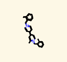 CC1=CC(=C2C=CN(Cc3ccccc3C)C=C2)C=CN1Cc1ccccc1C